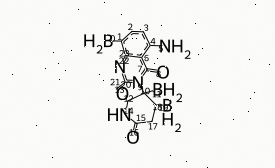 Bc1ccc(N)c2c(=O)n(C3(B)C(=O)NC(=O)CC3B)c(C)nc12